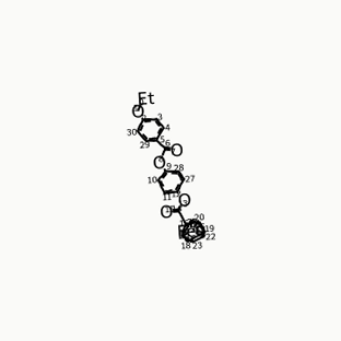 CCOc1ccc(C(=O)Oc2ccc(OC(=O)[C]34[CH]5[CH]6[CH]7[CH]3[Fe]6754389%10[CH]4[CH]3[CH]8[CH]9[CH]4%10)cc2)cc1